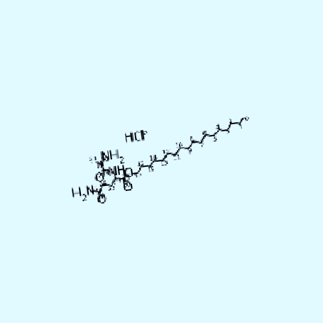 CCCCCCCCCCCCCCCCCCOC(=O)[C@@H](CCC(N)=O)NC(=O)[C@H](C)N.Cl